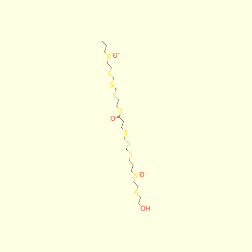 CCC[S+]([O-])CCSCSCSCCSC(=O)CCSCSCSCCC[S+]([O-])CCSCCO